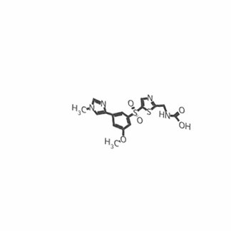 COc1cc(-c2cn(C)cn2)cc(S(=O)(=O)c2cnc(CNC(=O)O)s2)c1